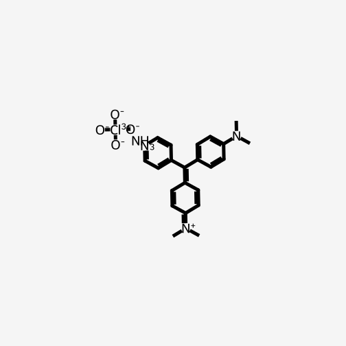 CN(C)c1ccc(C(=C2C=CC(=[N+](C)C)C=C2)c2ccncc2)cc1.N.[O-][Cl+3]([O-])([O-])[O-]